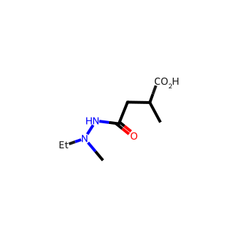 CCN(C)NC(=O)CC(C)C(=O)O